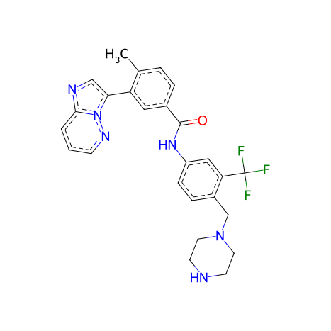 Cc1ccc(C(=O)Nc2ccc(CN3CCNCC3)c(C(F)(F)F)c2)cc1-c1cnc2cccnn12